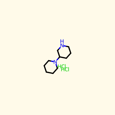 C1CCN(C2CCCNC2)CC1.Cl.Cl